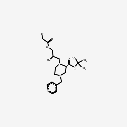 CC(C)(C)NC(=O)[C@@H]1CN(Cc2ccncc2)CCN1CC(O)CNC(=O)CBr